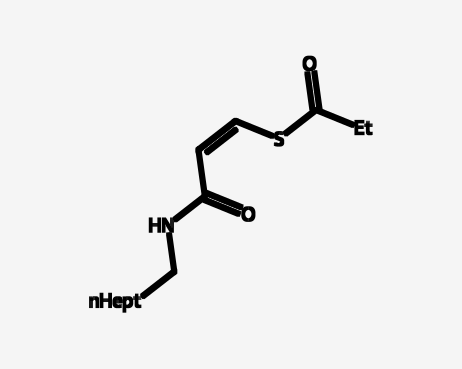 CCCCCCCCNC(=O)/C=C\SC(=O)CC